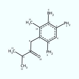 Bc1c(P)cc(P)c(CC(=O)C(C)C)c1C